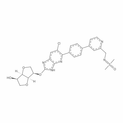 CS(C)(=O)=NCc1cc(-c2ccc(-c3nc4[nH]c(O[C@@H]5CO[C@H]6[C@@H]5OC[C@H]6O)nc4cc3Cl)cc2)ccn1